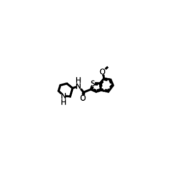 COc1cccc2cc(C(=O)NC3CCCNC3)sc12